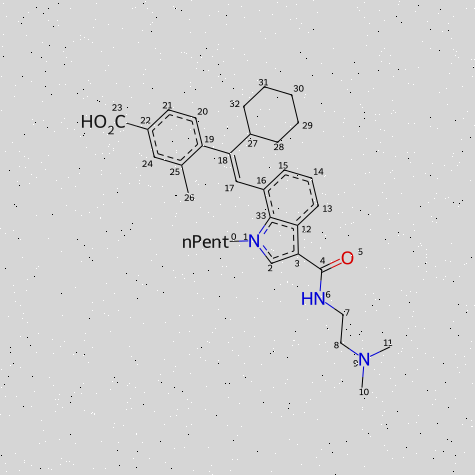 CCCCCn1cc(C(=O)NCCN(C)C)c2cccc(/C=C(/c3ccc(C(=O)O)cc3C)C3CCCCC3)c21